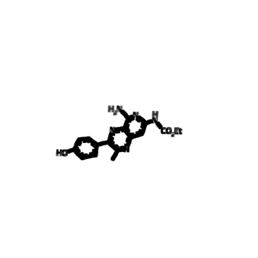 CCOC(=O)Nc1cc2nc(C)c(-c3ccc(O)cc3)nc2c(N)n1